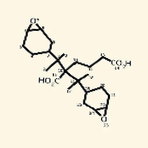 CC(C)(C1CCC2OC2C1)C(CCCC(=O)O)(C(=O)O)C(C)(C)C1CCC2OC2C1